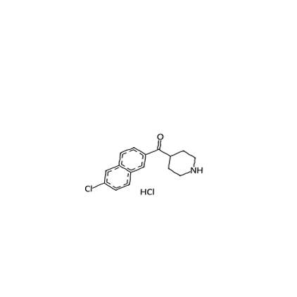 Cl.O=C(c1ccc2cc(Cl)ccc2c1)C1CCNCC1